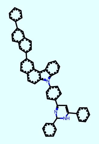 C1=C(c2ccccc2)NC(c2ccccc2)N=C1c1ccc(-n2c3ccccc3c3c4cc(-c5ccc6cc(-c7ccccc7)ccc6c5)ccc4ccc32)cc1